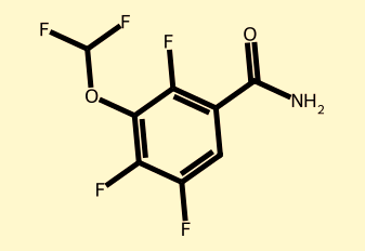 NC(=O)c1cc(F)c(F)c(OC(F)F)c1F